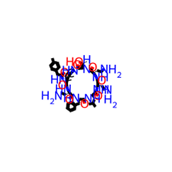 Cc1ccc(CC(=O)N[C@H]2CCNC(=O)[C@H]([C@@H](C)O)NC(=O)[C@H](CCN)NC(=O)[C@H](CCN)NC(=O)[C@H](CC(C)C)NC(=O)[C@@H](Cc3ccccc3)NC(=O)[C@H](CCN)NC2=O)cc1